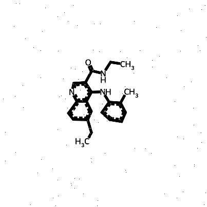 CCNC(=O)c1cnc2ccc(CC)cc2c1Nc1ccccc1C